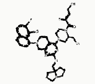 N#CC[C@H]1CN(c2nc(OCC34CCCN3CCC4)nc3c2CCN(c2cccc4ccc(F)c(Cl)c24)C3)CCN1C(=O)/C(F)=C/CO